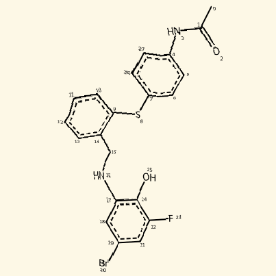 CC(=O)Nc1ccc(Sc2ccccc2CNc2cc(Br)cc(F)c2O)cc1